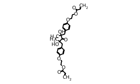 C=CC(=O)OCCOc1ccc(CC(C)(O)C(=O)C(C)(O)Cc2ccc(OCCOC(=O)C=C)cc2)cc1